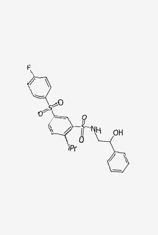 CC(C)c1ccc(S(=O)(=O)c2ccc(F)cc2)cc1S(=O)(=O)NCC(O)c1ccccc1